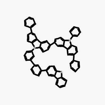 c1ccc(-c2ccc3c(c2)c2cc(-c4ccc5c(c4)c4cc(-c6ccccc6)ccc4n5-c4cccc(-c5cccc(-c6ccc7sc8ccccc8c7c6)c5)c4)ccc2n3-c2ccccc2)cc1